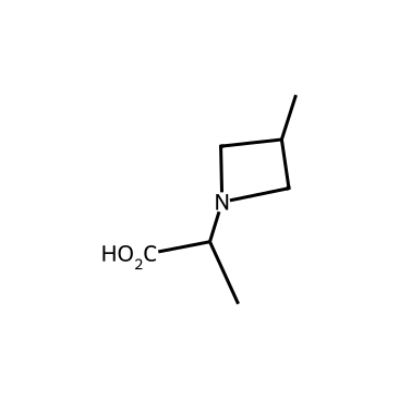 CC1CN(C(C)C(=O)O)C1